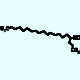 O=C(O)CCCCCCCCCCCCCCCC(CCC(=O)O)[N+](=O)[O-]